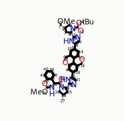 COC[C@H]1C[C@@H](c2ncc(-c3cc4c5c(c3)OCc3cc(-c6cnc([C@@H]7C[C@H](C)CN7C(=O)[C@H](NC(=O)OC)c7ccccc7)[nH]6)cc(c3-5)OC4)[nH]2)N(C(=O)OC(C)(C)C)C1